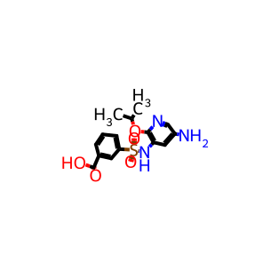 CC(C)Oc1ncc(N)cc1NS(=O)(=O)c1cccc(C(=O)O)c1